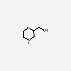 N#CCC1CNCC[N]1